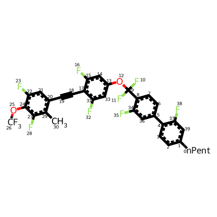 CCCCCc1ccc(-c2ccc(C(F)(F)Oc3cc(F)c(C#Cc4cc(F)c(OC(F)(F)F)c(F)c4C)c(F)c3)c(F)c2)c(F)c1